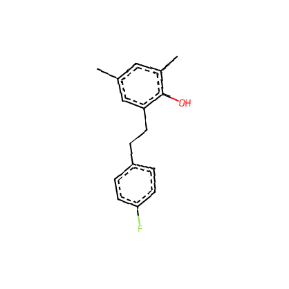 Cc1cc(C)c(O)c(CCc2ccc(F)cc2)c1